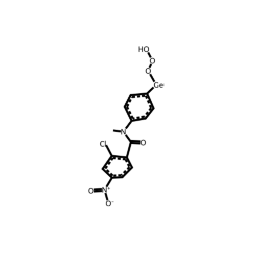 CN(C(=O)c1ccc([N+](=O)[O-])cc1Cl)c1cc[c]([Ge][O]OO)cc1